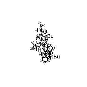 CCCC[C@H](NC(=O)[C@@H]1C2[C@H](CN1C(=O)[C@@H](NC(=O)NC1(CS(=O)(=O)C(C)(C)C)CCCCC1)C1(C)CCCCC1)C2(C)C)C(=O)C(=O)NC1CC1